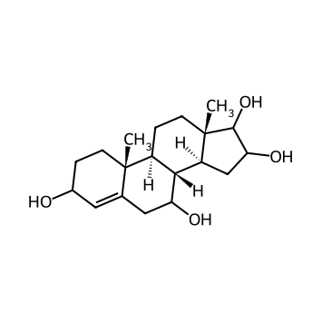 C[C@]12CCC(O)C=C1CC(O)[C@@H]1[C@@H]2CC[C@]2(C)C(O)C(O)C[C@@H]12